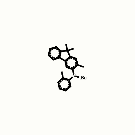 Cc1ccccc1N(c1cc2c(cc1C)C(C)(C)c1ccccc1-2)C(C)(C)C